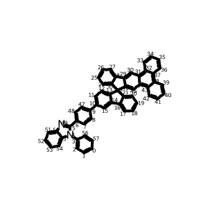 c1ccc(-n2c(-c3ccc(-c4ccc5c(c4)-c4ccccc4C54c5ccccc5-c5cc6c7ccccc7c7ccccc7c6cc54)cc3)nc3ccccc32)cc1